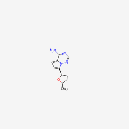 Nc1ncnn2c([C@H]3CC[C@@H](C=O)O3)ccc12